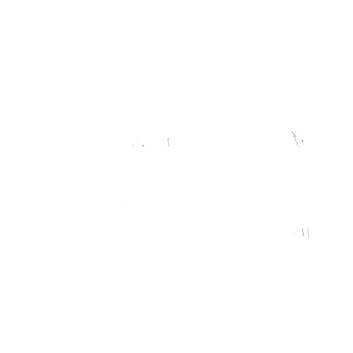 CCOC(CC(=C(C#N)CS)C(F)(F)F)OCC